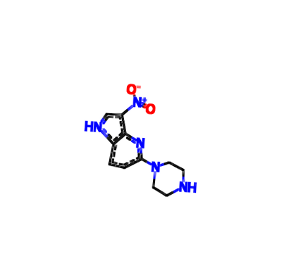 O=[N+]([O-])c1c[nH]c2ccc(N3CCNCC3)nc12